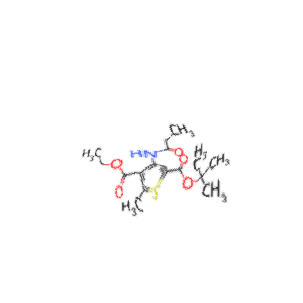 CCOC(=O)c1c(C)sc(C(=O)OC(C)(C)C)c1NC(=O)CC